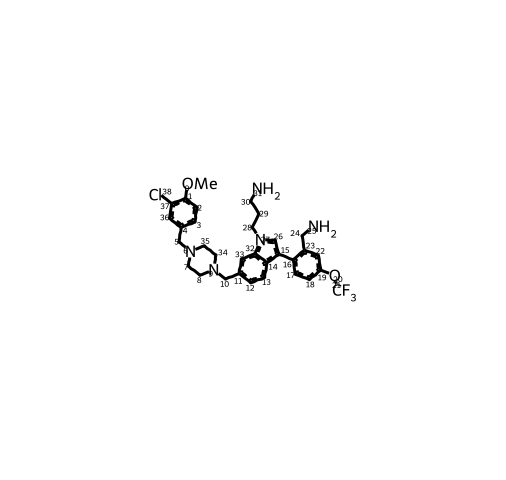 COc1ccc(CN2CCN(Cc3ccc4c(-c5ccc(OC(F)(F)F)cc5CN)cn(CCCN)c4c3)CC2)cc1Cl